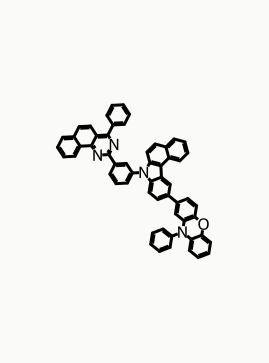 c1ccc(-c2nc(-c3cccc(-n4c5ccc(-c6ccc7c(c6)N(c6ccccc6)c6ccccc6O7)cc5c5c6ccccc6ccc54)c3)nc3c2ccc2ccccc23)cc1